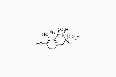 CCC1(C(=O)O)NC(C)(C(=O)O)Cc2ccc(O)c(O)c21